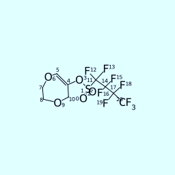 O=S(=O)(OC1=COCCOC1)C(F)(F)C(F)(F)C(F)(F)C(F)(F)F